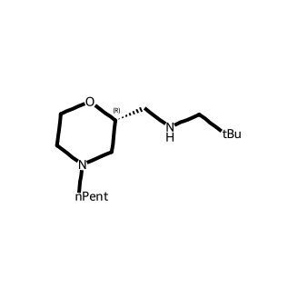 CCCCCN1CCO[C@H](CNCC(C)(C)C)C1